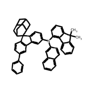 CC1(C)c2ccccc2-c2c(N(c3ccc4c(c3)-c3cc(-c5ccccc5)ccc3C43C4CC5CC(C4)CC3C5)c3ccc4ccccc4c3)cccc21